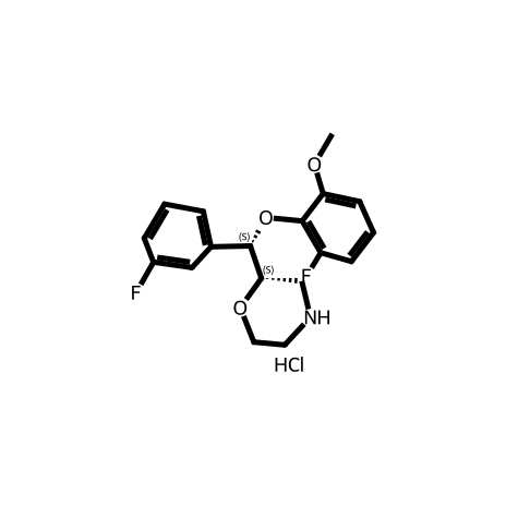 COc1cccc(F)c1O[C@@H](c1cccc(F)c1)[C@@H]1CNCCO1.Cl